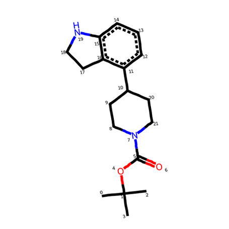 CC(C)(C)OC(=O)N1CCC(c2cccc3c2CCN3)CC1